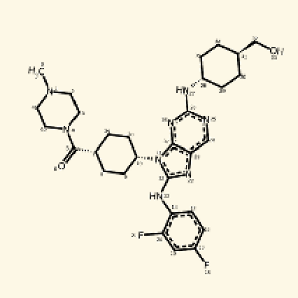 CN1CCN(C(=O)[C@H]2CC[C@@H](n3c(Nc4ccc(F)cc4F)nc4cnc(N[C@H]5CC[C@H](CO)CC5)nc43)CC2)CC1